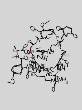 COc1ccc(C(=O)N(C)[C@@H](C)C(=O)O[C@H]2CC(=O)N(C)c3cc(cc(OC)c3Cl)C/C(C)=C/C=C/[C@@H](OC)[C@@]3(O)C[C@H](OC(=O)N3)[C@@H](C)[C@@H]3O[C@@]23C)c(NC(=O)[C@H](CCCNC(N)=O)NC(=O)[C@@H](NC(=S)NCCCCN2C(=O)C=CC2=O)C(C)C)c1